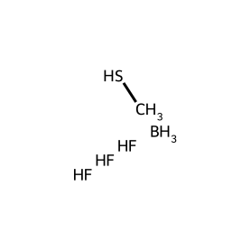 B.CS.F.F.F